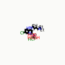 CCN(CC)CCCC(C)Nc1ccnc2cc(Cl)ccc12.Cl.O=P(O)(O)O